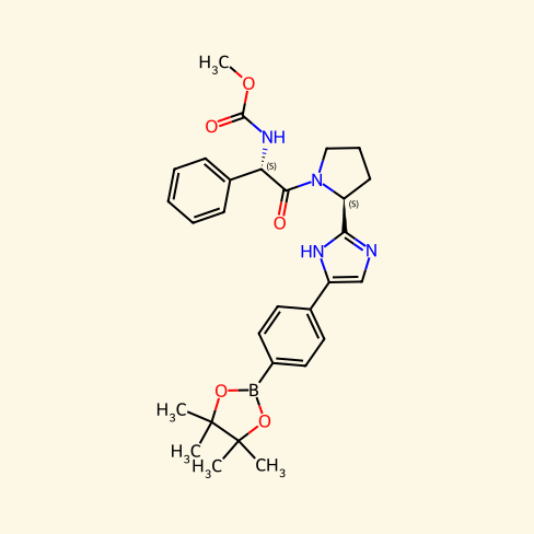 COC(=O)N[C@H](C(=O)N1CCC[C@H]1c1ncc(-c2ccc(B3OC(C)(C)C(C)(C)O3)cc2)[nH]1)c1ccccc1